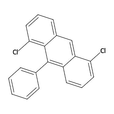 Clc1cccc2c(-c3ccccc3)c3c(Cl)cccc3cc12